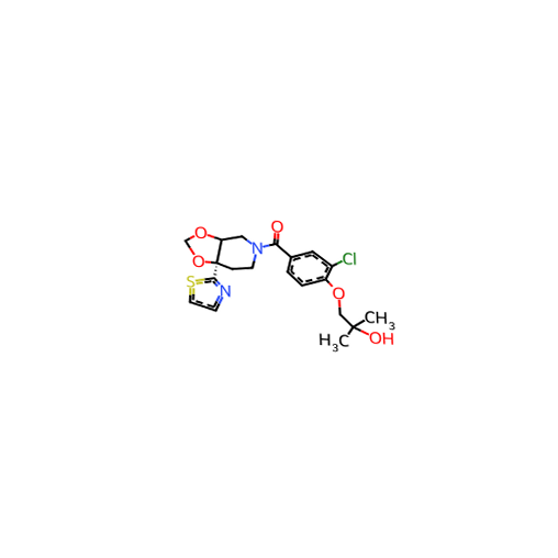 CC(C)(O)COc1ccc(C(=O)N2CC[C@@]3(c4nccs4)OCOC3C2)cc1Cl